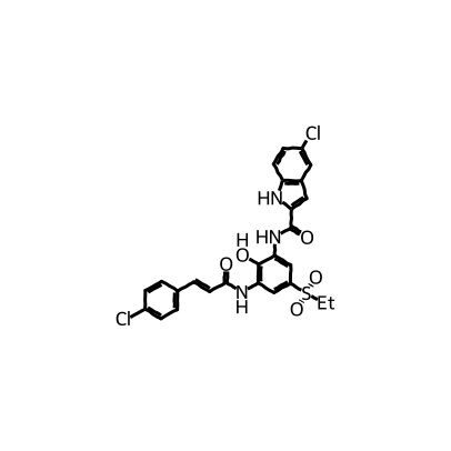 CCS(=O)(=O)c1cc(NC(=O)C=Cc2ccc(Cl)cc2)c(O)c(NC(=O)c2cc3cc(Cl)ccc3[nH]2)c1